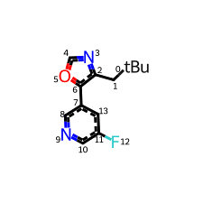 CC(C)(C)Cc1ncoc1-c1cncc(F)c1